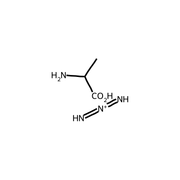 CC(N)C(=O)O.N=[N+]=N